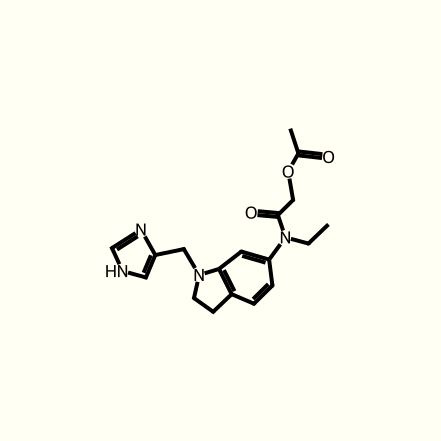 CCN(C(=O)COC(C)=O)c1ccc2c(c1)N(Cc1c[nH]cn1)CC2